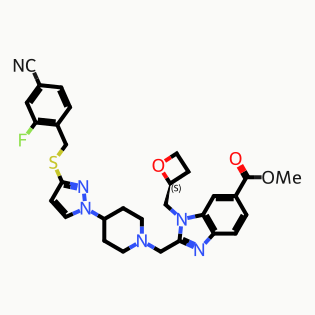 COC(=O)c1ccc2nc(CN3CCC(n4ccc(SCc5ccc(C#N)cc5F)n4)CC3)n(C[C@@H]3CCO3)c2c1